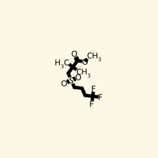 COC(=O)C(C)(C)CS(=O)(=O)CCCC(F)(F)F